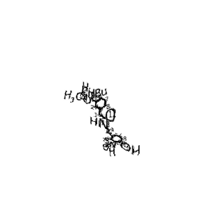 C[SiH](C)OC(c1cccc(CC(=O)NCCc2ccc(O)c3[nH]c(=O)sc23)c1)C(C)(C)C